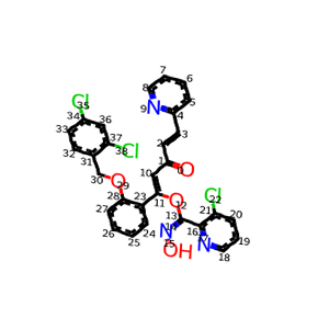 O=C(C=Cc1ccccn1)C=C(OC(=NO)c1ncccc1Cl)c1ccccc1OCc1ccc(Cl)cc1Cl